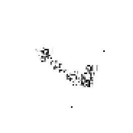 CC(C)(C)OC(=O)NCCCCCCCN1CCC(c2c[nH]c3ccc(O)cc23)CC1